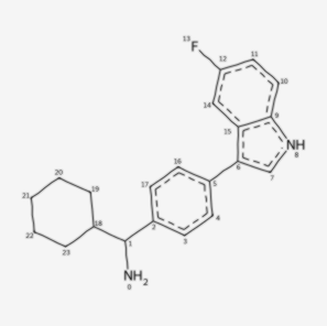 NC(c1ccc(-c2c[nH]c3ccc(F)cc23)cc1)C1CCCCC1